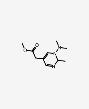 COC(=O)CC1=CN(N(C)C)C(C)N=C1